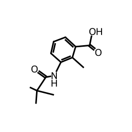 Cc1c(NC(=O)C(C)(C)C)cccc1C(=O)O